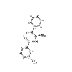 CC(C)(C)N(NC(=O)c1cccc(C(F)(F)F)c1)C(=O)c1ccccc1